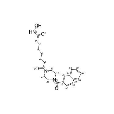 O=C(CCCCCCC(=O)N1CCN(C(=O)c2ccc3ccccc3c2)CC1)NO